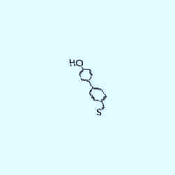 Oc1ccc(-c2ccc(C=S)cc2)cc1